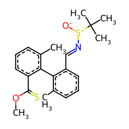 COC(=S)c1cccc(C)c1-c1c(C)cccc1/C=N/[S+]([O-])C(C)(C)C